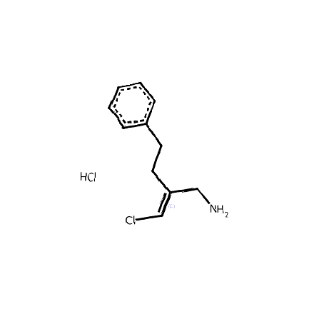 Cl.NC/C(=C/Cl)CCc1ccccc1